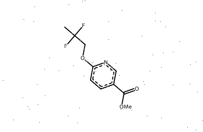 COC(=O)c1ccc(OCC(C)(F)F)nc1